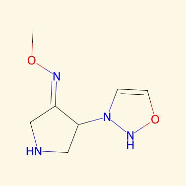 CON=C1CNCC1N1C=CON1